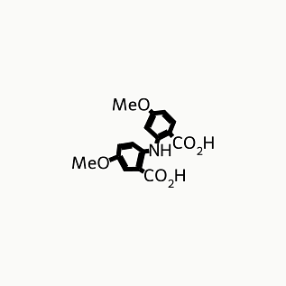 COc1ccc(C(=O)O)c(Nc2ccc(OC)cc2C(=O)O)c1